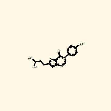 CCCC(O)CCc1cc2ncn(-c3ccc(O)cc3)c(=O)c2s1